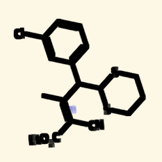 CCOC(=O)/C(C#N)=C(\C)C(c1cccc(Cl)c1)C1SCCCS1